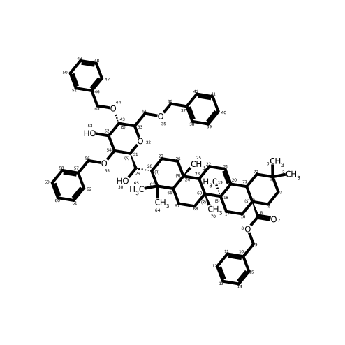 CC1(C)CC[C@]2(C(=O)OCc3ccccc3)CC[C@]3(C)C(=CCC4[C@@]5(C)CC[C@@H](C(O)[C@@H]6OC(COCc7ccccc7)[C@@H](OCc7ccccc7)C(O)C6OCc6ccccc6)C(C)(C)C5CC[C@]43C)C2C1